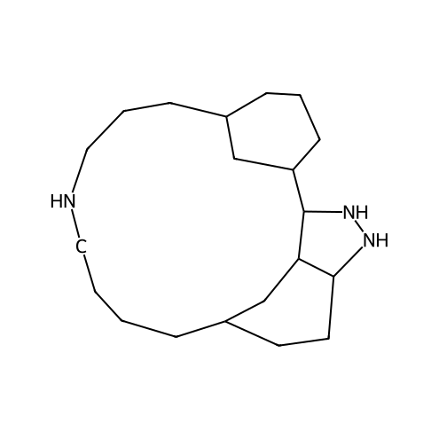 C1CCC2CCC3NNC(C4CCCC(CCCNC1)C4)C3C2